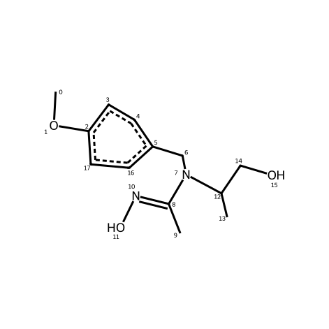 COc1ccc(CN(C(C)=NO)C(C)CO)cc1